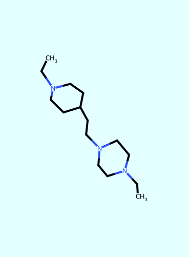 CCN1CCC(CCN2CCN(CC)CC2)CC1